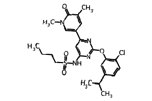 CCCCS(=O)(=O)Nc1cc(-c2cc(C)c(=O)n(C)c2)nc(Oc2cc(C(C)C)ccc2Cl)n1